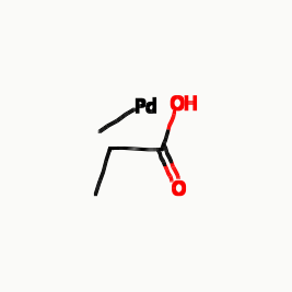 CCC(=O)O.[CH3][Pd]